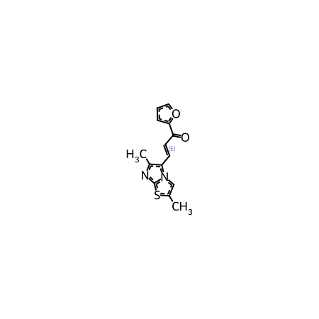 Cc1cn2c(/C=C/C(=O)c3ccco3)c(C)nc2s1